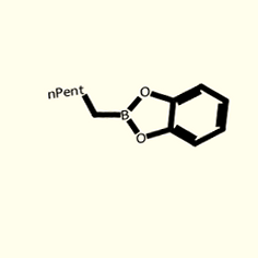 CCCCCCB1Oc2ccccc2O1